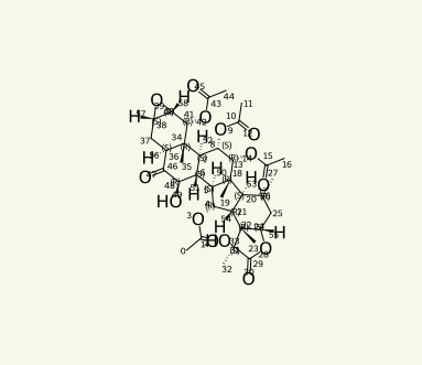 CC(=O)O[C@@H]1[C@H]2[C@H]3[C@H]([C@H](OC(C)=O)[C@H](OC(C)=O)[C@]2(C)[C@@H]2[C@@H]1[C@]1(C)[C@H](C[C@H]2C)OC(=O)[C@@]1(C)O)[C@]1(C)[C@H](C[C@@H]2O[C@@H]2[C@@H]1OC(C)=O)C(=O)[C@@H]3O